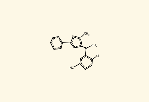 CN(c1cc(C#N)ccc1Cl)c1cc(-c2ccccc2)nn1C